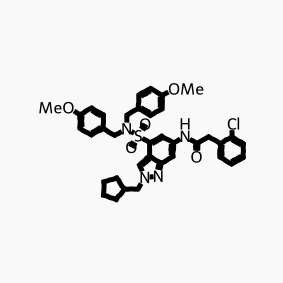 COc1ccc(CN(Cc2ccc(OC)cc2)S(=O)(=O)c2cc(NC(=O)Cc3ccccc3Cl)cc3nn(CC4CCCC4)cc23)cc1